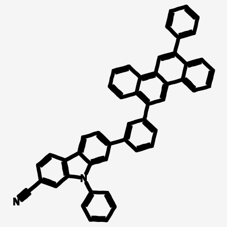 N#Cc1ccc2c3ccc(-c4cccc(-c5cc6c7ccccc7c(-c7ccccc7)cc6c6ccccc56)c4)cc3n(-c3ccccc3)c2c1